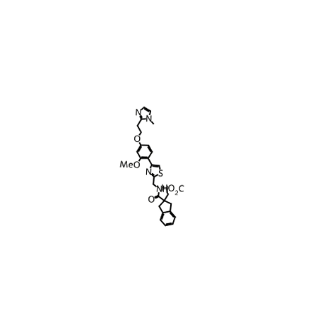 COc1cc(OCCc2nccn2C)ccc1-c1csc(CNC(=O)C2(CC(=O)O)Cc3ccccc3C2)n1